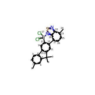 Cc1ccc2c(c1)C(C)(C)c1cc3c(cc1-2)[B-](Cl)(Cl)[n+]1snc2c(C)ccc-3c21